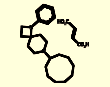 O=C(O)C=CC(=O)O.c1ccc(N2CCC23CCN(C2CCCCCCCC2)CC3)cc1